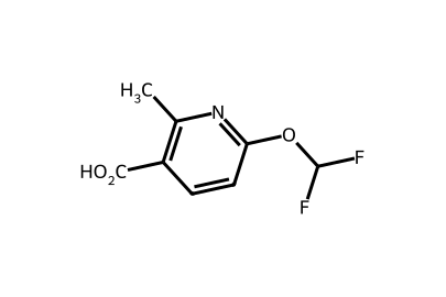 Cc1nc(OC(F)F)ccc1C(=O)O